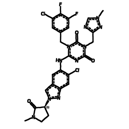 CN1CC[C@H](n2cc3cc(Nc4nc(=O)n(Cc5ncn(C)n5)c(=O)n4Cc4cc(F)c(F)c(Cl)c4)c(Cl)cc3n2)C1=O